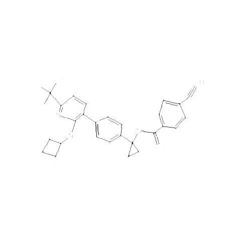 C#Cc1ccc(C(=O)NC2(c3ccc(-c4ccc(C(F)(F)F)nc4NC4CCC4)cc3)CC2)cc1